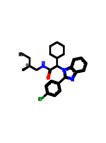 CC(C)C[C@H](C)CNC(=O)C(C1CCCCC1)n1c(-c2ccc(Cl)cc2)nc2ccccc21